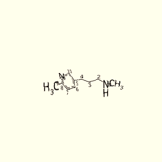 CNCCCc1ccc(C)nc1